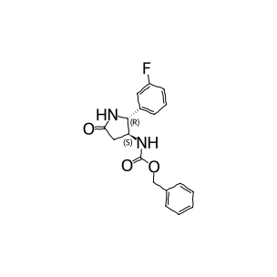 O=C1C[C@H](NC(=O)OCc2ccccc2)[C@@H](c2cccc(F)c2)N1